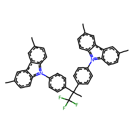 Cc1ccc2c(c1)c1cc(C)ccc1n2-c1ccc(C(C)(c2ccc(-n3c4ccc(C)cc4c4cc(C)ccc43)cc2)C(F)(F)F)cc1